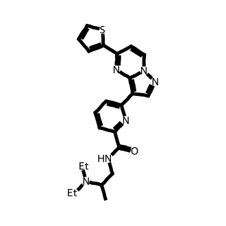 CCN(CC)C(C)CNC(=O)c1cccc(-c2cnn3ccc(-c4cccs4)nc23)n1